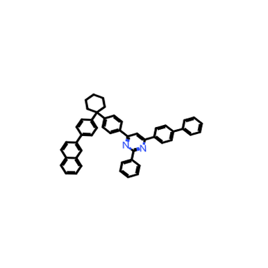 c1ccc(-c2ccc(-c3cc(-c4ccc(C5(c6ccc(-c7ccc8ccccc8c7)cc6)CCCCC5)cc4)nc(-c4ccccc4)n3)cc2)cc1